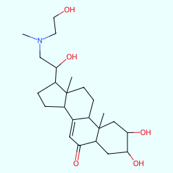 CN(CCO)CC(O)C1CCC2C3=CC(=O)C4CC(O)C(O)CC4(C)C3CCC21C